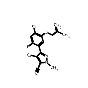 C=C(C)COc1cc(-c2nn(C)c(C#N)c2Cl)c(F)cc1Cl